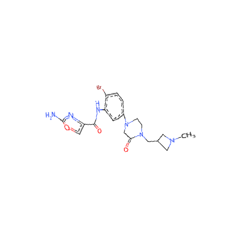 CN1CC(CN2CCN(c3ccc(Br)c(NC(=O)c4coc(N)n4)c3)CC2=O)C1